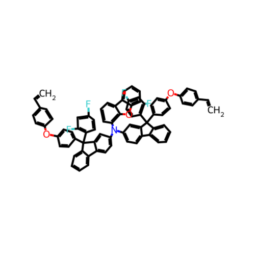 C=Cc1ccc(Oc2ccc(C3(c4ccc(F)cc4F)c4ccccc4-c4ccc(N(c5ccc6c(c5)C(c5ccc(Oc7ccc(C=C)cc7)cc5)(c5ccc(F)cc5F)c5ccccc5-6)c5cccc6c5oc5ccccc56)cc43)cc2)cc1